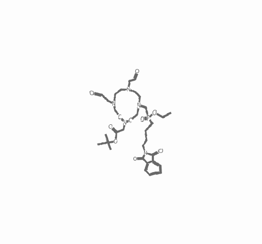 CCOP(=O)(CCCCN1C(=O)c2ccccc2C1=O)CN1CCN(CC=O)CCN(CC=O)CCN(CC(=O)OC(C)(C)C)CC1